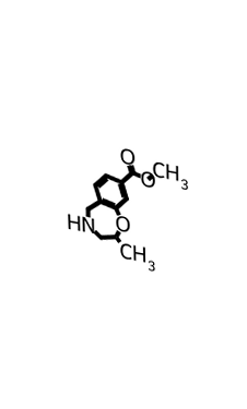 COC(=O)c1ccc2c(c1)OC(C)CNC2